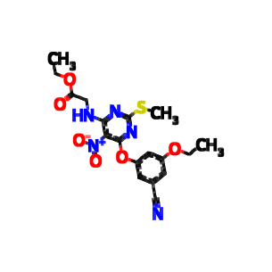 CCOC(=O)CNc1nc(SC)nc(Oc2cc(C#N)cc(OCC)c2)c1[N+](=O)[O-]